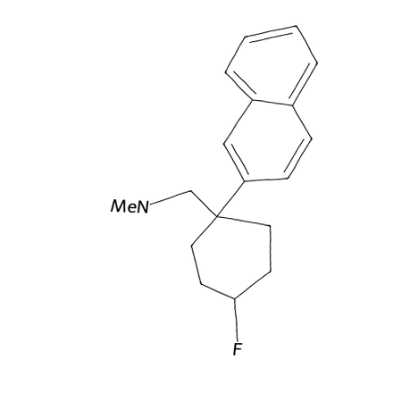 CNCC1(c2ccc3ccccc3c2)CCC(F)CC1